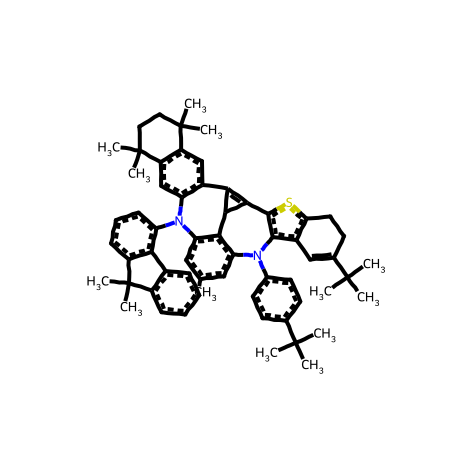 Cc1cc2c3c(c1)N(c1ccc(C(C)(C)C)cc1)c1c(sc4c1C=C(C(C)(C)C)CC4)C1=C(c4cc5c(cc4N2c2cccc4c2-c2ccccc2C4(C)C)C(C)(C)CCC5(C)C)C13